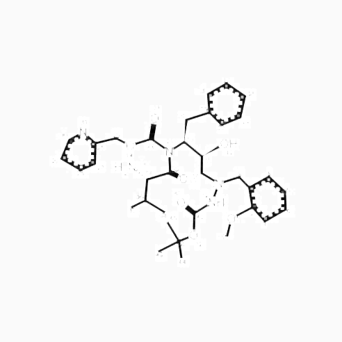 COc1ccccc1CN(C[C@H](O)[C@H](Cc1ccccc1)N(C(=O)OCc1ccccn1)C(=O)[C@@H](N)C(C)C)NC(=O)OC(C)(C)C